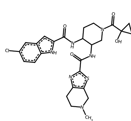 CN1CCc2nc(C(=O)NC3CN(C(=O)C4(O)CC4)CCC3NC(=O)c3cc4cc(Cl)ccc4[nH]3)sc2C1